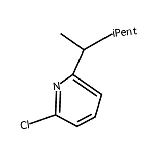 CCCC(C)C(C)c1cccc(Cl)n1